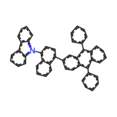 c1ccc(-c2c3ccccc3c(-c3ccccc3)c3cc(-c4ccc(-n5c6ccccc6c6ccccc65)c5ccccc45)ccc23)cc1